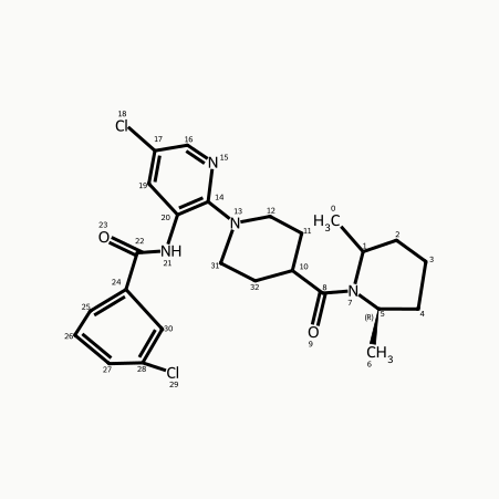 CC1CCC[C@@H](C)N1C(=O)C1CCN(c2ncc(Cl)cc2NC(=O)c2cccc(Cl)c2)CC1